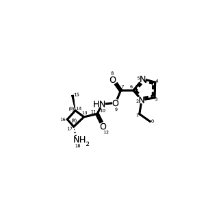 CCn1ccnc1C(=O)ONC(=O)C1[C@H](C)C[C@H]1N